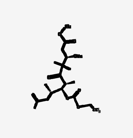 C=C(C)C[C@H](C)[C@H](OC(=O)OCC(Cl)(Cl)Cl)[C@@H](C)C(=O)C(C)(C)[C@H](CC(=O)OC(C)(C)C)OC